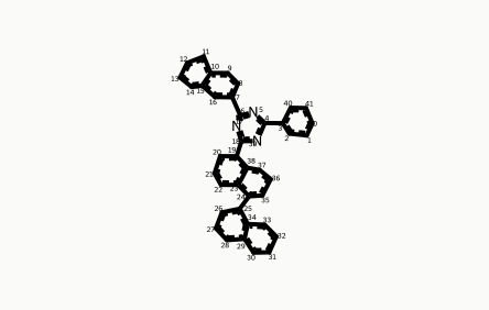 c1ccc(-c2nc(-c3ccc4ccccc4c3)nc(-c3cccc4c(-c5cccc6ccccc56)cccc34)n2)cc1